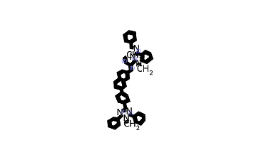 C=NC(=N\C(=N/Cc1ccccc1)c1ccccc1)/C(/C=C\C)=C/c1ccc2ccc(-c3ccc(C(/N=C(\N=C)c4ccccc4)=N/Cc4ccccc4)cc3)cc2c1